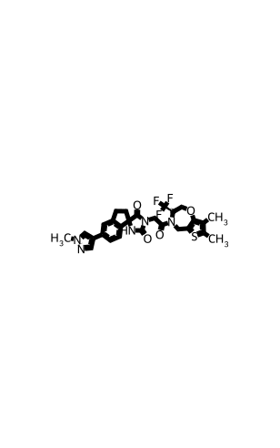 Cc1sc2c(c1C)OC[C@H](C(F)(F)F)N(C(=O)CN1C(=O)NC3(CCc4cc(-c5cnn(C)c5)ccc43)C1=O)C2